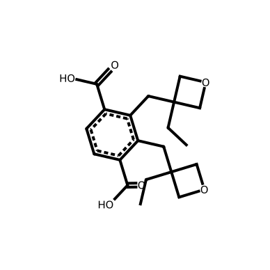 CCC1(Cc2c(C(=O)O)ccc(C(=O)O)c2CC2(CC)COC2)COC1